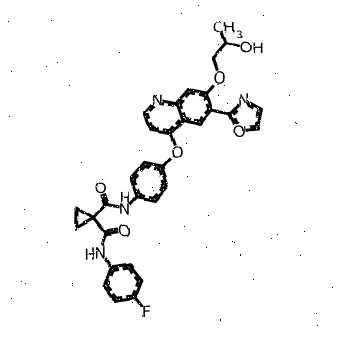 CC(O)COc1cc2nccc(Oc3ccc(NC(=O)C4(C(=O)Nc5ccc(F)cc5)CC4)cc3)c2cc1-c1ncco1